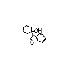 O=CC(c1ccccc1)C1(O)CCCCC1